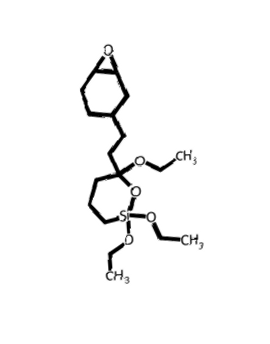 CCOC1(CCC2CCC3OC3C2)CCC[Si](OCC)(OCC)O1